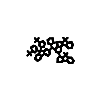 CC(C)(C)c1cccc(C2(c3cccc(C(C)(C)C)c3)c3ccccc3-c3ccc(N(c4cccc(-c5cccc6c5C(C)(C)c5ccccc5-6)c4)c4ccccc4-c4ccc5c(c4)C(C)(C)c4ccccc4-5)cc32)c1